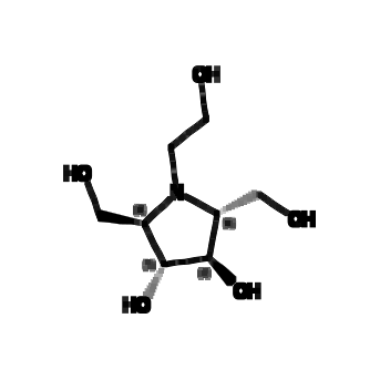 OCCN1[C@H](CO)[C@@H](O)[C@H](O)[C@H]1CO